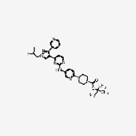 CC(C)(C)OC(=O)N1CCN(c2ccc(Nc3nccc(-c4cn(CC(F)F)nc4-c4cccnc4)n3)cn2)CC1